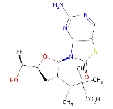 CC[C@H](O)[C@@H]1C[C@@H]([C@@H](C)C(C)(C)C(=O)O)[C@H](n2c(=O)sc3cnc(N)nc32)O1